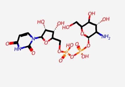 NC1[C@@H](OP(=O)(O)OP(=O)(O)OCC2OC(n3ccc(=O)[nH]c3=O)[C@H](O)[C@@H]2O)OC(CO)C(O)[C@@H]1O